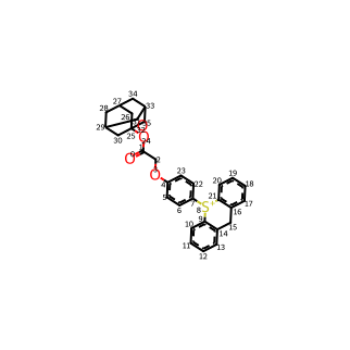 O=C(COc1ccc([S+]2c3ccccc3Cc3ccccc32)cc1)OC12CC3CC(C1)C(=O)C(C3)C2